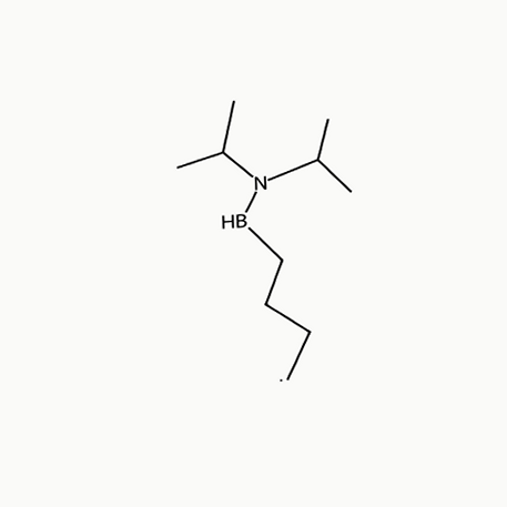 [CH2]CCCBN(C(C)C)C(C)C